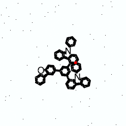 c1ccc(-n2c3ccccc3c3c(-c4cc(-c5ccc6oc7ccccc7c6c5)cc(-c5cccc6c7ccccc7n(-c7ccccc7)c56)c4)cccc32)cc1